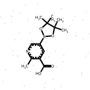 Cc1ncc(B2OC(C)(C)C(C)(C)O2)cc1C(=O)O